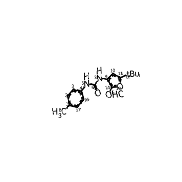 Cc1ccc(NC(=O)Nc2cc(C(C)(C)C)oc2C=O)cc1